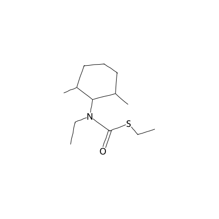 CCSC(=O)N(CC)C1C(C)CCCC1C